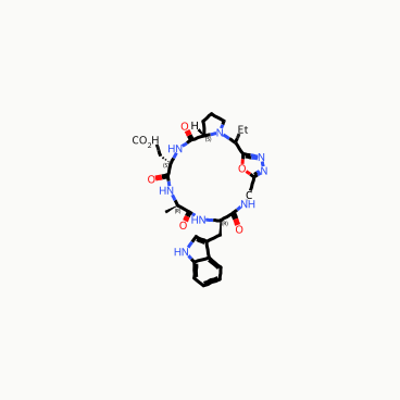 CCC1c2nnc(o2)CNC(=O)[C@@H](Cc2c[nH]c3ccccc23)NC(=O)[C@@H](C)NC(=O)[C@H](CC(=O)O)NC(=O)[C@@H]2CCCN12